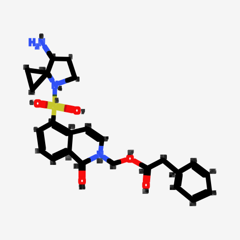 NC1CCN(S(=O)(=O)c2cccc3c(=O)n(COC(=O)Cc4ccccc4)ccc23)C12CC2